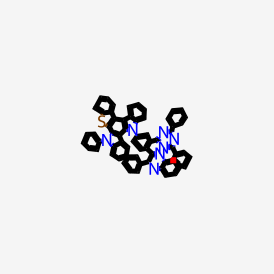 c1ccc(-c2nc(-c3ccccc3)nc(-c3cc(-n4c5ccccc5c5c6c7ccccc7sc6c6c(c7ccccc7n6-c6ccccc6)c54)ccc3-c3nc4ccccc4nc3-c3ccccc3)n2)cc1